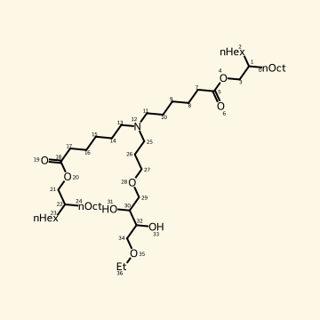 CCCCCCCCC(CCCCCC)COC(=O)CCCCCN(CCCCCC(=O)OCC(CCCCCC)CCCCCCCC)CCCOCC(O)C(O)COCC